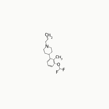 C=CCN1CCC(c2cccc(OC(F)F)c2C)CC1